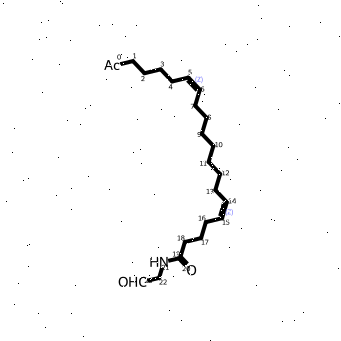 CC(=O)CCCC/C=C\CCCCCCC/C=C\CCCC(=O)NCC=O